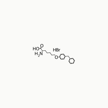 Br.NC(CCCCCOc1ccc(Cc2ccccc2)cc1)C(=O)O